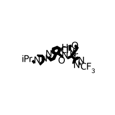 CC(C)CN1CCN(c2ccc3c(C(=O)NCC(c4cnc(C(F)(F)F)nc4)N4CCOCC4)c(Cl)ccc3n2)CC1